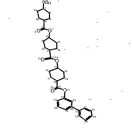 CCCCC1CCC(C(=O)OC2CCC(C(=O)OC3CCC(C(=O)Oc4cccc(-c5ccccc5)c4)CC3)CC2)CC1